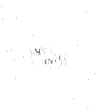 CN(Cc1ccc(Cl)c(Cl)c1)CC1CCC(CCB(O)O)CC1(N)C(=O)O.Cl